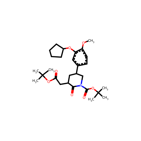 COc1ccc(C2CC(CC(=O)OC(C)(C)C)C(=O)N(C(=O)OC(C)(C)C)C2)cc1OC1CCCC1